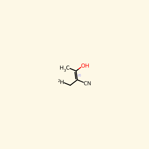 [2H]C/C(C#N)=C(\C)O